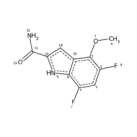 COc1c(F)cc(F)c2[nH]c(C(N)=O)cc12